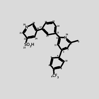 Cc1cc(-c2ccc(C(F)(F)F)cc2)cc(-c2cccc(-c3cncc(S(=O)(=O)O)c3)c2)n1